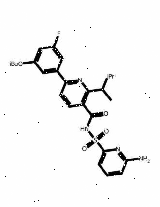 CC(C)COc1cc(F)cc(-c2ccc(C(=O)NS(=O)(=O)c3cccc(N)n3)c(C(C)C(C)C)n2)c1